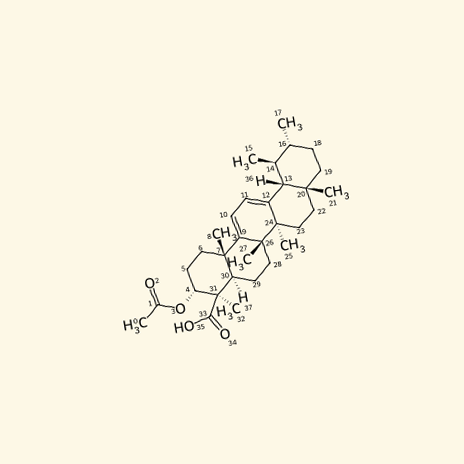 CC(=O)O[C@@H]1CC[C@]2(C)C3=CC=C4[C@@H]5[C@@H](C)[C@H](C)CC[C@]5(C)CC[C@@]4(C)[C@]3(C)CC[C@H]2[C@@]1(C)C(=O)O